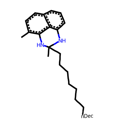 CCCCCCCCCCCCCCCCCC1(C)Nc2cccc3ccc(C)c(c23)N1